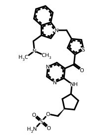 CN(C)Cc1cn(Cc2csc(C(=O)c3cncnc3NC3CC[C@@H](COS(N)(=O)=O)C3)c2)c2ccccc12